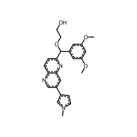 COc1cc(OC)cc(C(OCCO)c2ccc3ncc(-c4ccn(C)c4)cc3n2)c1